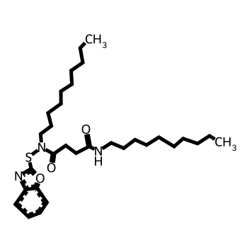 CCCCCCCCCCNC(=O)CCC(=O)N(CCCCCCCCCC)Sc1nc2ccccc2o1